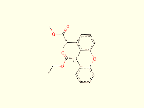 CCOC(=O)[C@H]1c2ccccc2Oc2cccc(C(C)C(=O)OC)c21